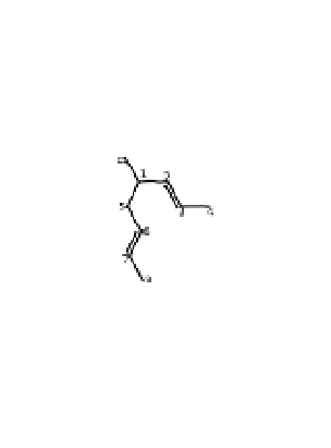 [CH2]C(C=CC)CC=CC